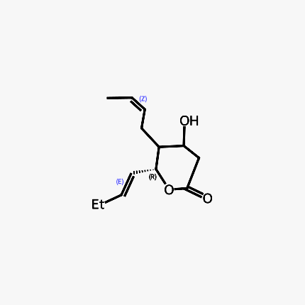 C/C=C\CC1C(O)CC(=O)O[C@@H]1/C=C/CC